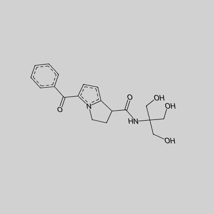 O=C(c1ccccc1)c1ccc2n1CCC2C(=O)NC(CO)(CO)CO